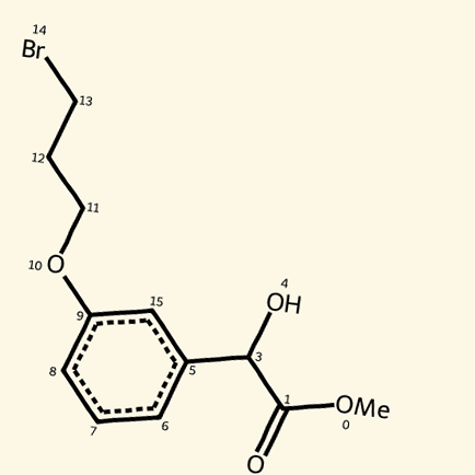 COC(=O)C(O)c1cccc(OCCCBr)c1